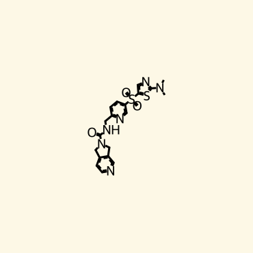 CN(C)c1ncc(S(=O)(=O)c2ccc(CNC(=O)N3Cc4ccncc4C3)nc2)s1